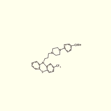 COc1ccc(N2CCN(CCCN3c4ccccc4Sc4ccc(C(F)(F)F)cc43)CC2)cc1